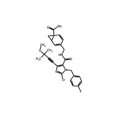 COC(C)(C)C#Cc1nc(Cl)n(Cc2ccc(F)cc2)c1C(=O)NCC1=CC2CC2(C(=O)O)C=C1